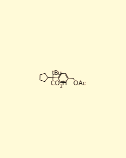 CC(=O)OCc1ccc(C(C(=O)O)(C2CCCC2)C(C)(C)C)cc1